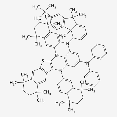 CC(C)(C)c1ccc2c(c1)C(C)(C)C1=CC=CC(N3c4cc5c(cc4B4c6sc7cc8c(cc7c6N(c6ccc7c(c6)C(C)(C)CCC7(C)C)c6cc(N(C7=C=C=CC=C7)c7ccccc7)cc3c64)C(C)(C)CCC8(C)C)C(C)(C)CCC5(C)C)C12C